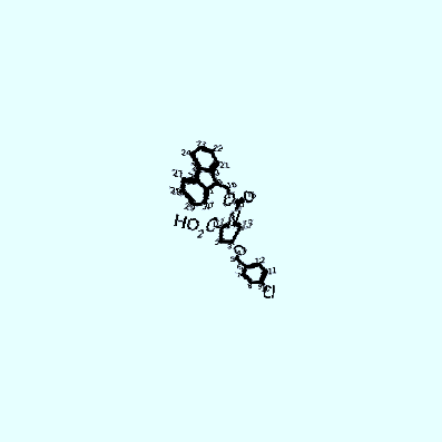 O=C(O)[C@@H]1C[C@@H](OCc2ccc(Cl)cc2)CN1C(=O)OCC1c2ccccc2-c2ccccc21